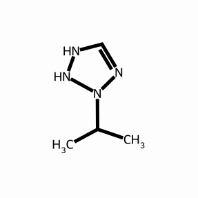 CC(C)N1N=CNN1